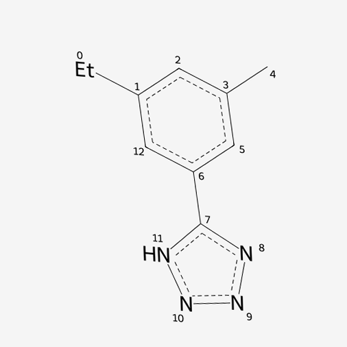 [CH2]Cc1cc(C)cc(-c2nnn[nH]2)c1